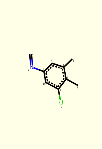 C=Nc1cc(C)c(C)c(Cl)c1